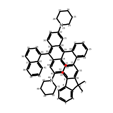 CC1(C)c2ccccc2-c2ccc(-c3ccccc3-c3c4cc(N5CCCCC5)ccc4c(-c4cccc5ccccc45)c4cc(N5CCCCC5)ccc34)cc21